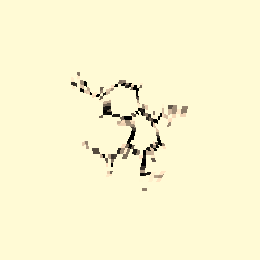 Oc1ccc2c(O)cc(O)c(OI)c2c1